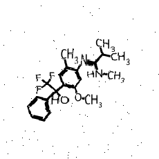 CNC(=Nc1cc(OC)c(C(O)(c2ccccc2)C(F)(F)F)cc1C)C(C)C